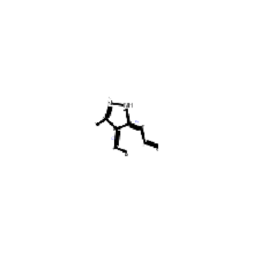 C=C/C=c1/[nH]nc(C)/c1=C/C